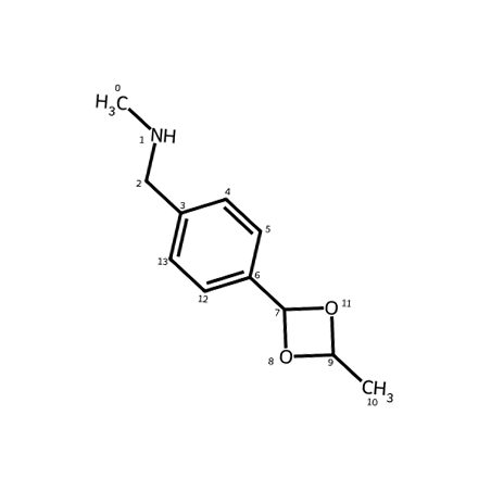 CNCc1ccc(C2OC(C)O2)cc1